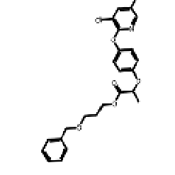 CC(Oc1ccc(Oc2ncc(Cl)cc2Cl)cc1)C(=O)OCCCOCc1ccccc1